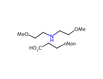 CCCCCCCCCCCC(=O)O.COCCNCCOC